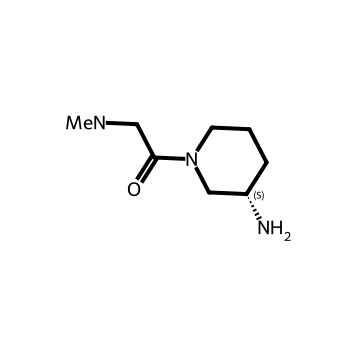 CNCC(=O)N1CCC[C@H](N)C1